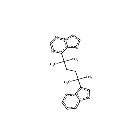 CC(C)(CCC(C)(C)c1ncnn2ccnc12)c1cnn2cccnc12